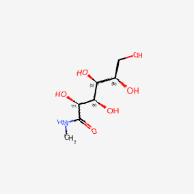 CNC(=O)[C@@H](O)[C@H](O)[C@@H](O)[C@H](O)CO